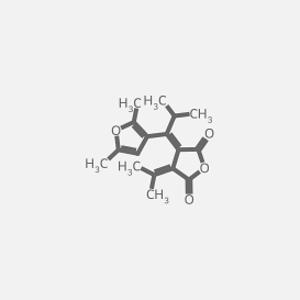 CC(C)=C1C(=O)OC(=O)/C1=C(/c1cc(C)oc1C)C(C)C